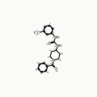 O=C(Nc1cccc(C(F)(F)F)c1)NC1CCN(C(=O)c2ccccc2)CC1